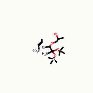 CC=CC(=O)O.CCC(OCC(C)O)C([SiH3])(O[Si](C)(C)C)O[Si](C)(C)C